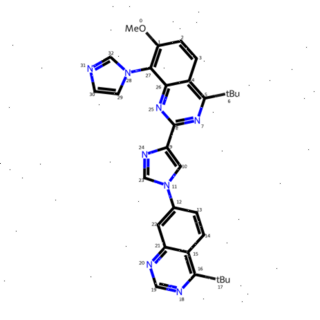 COc1ccc2c(C(C)(C)C)nc(-c3cn(-c4ccc5c(C(C)(C)C)ncnc5c4)cn3)nc2c1-n1ccnc1